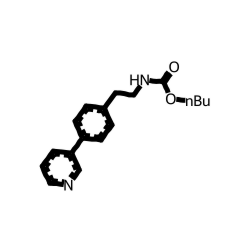 CCCCOC(=O)NCCc1ccc(-c2cccnc2)cc1